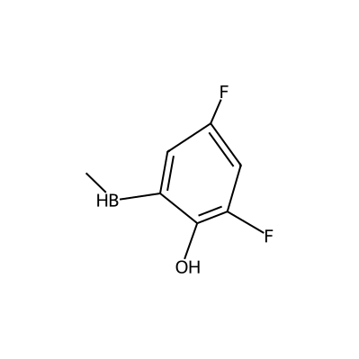 CBc1cc(F)cc(F)c1O